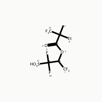 CCC(C)(C(=O)OC(C(F)(F)F)C(F)(F)S(=O)(=O)O)C(F)(F)F